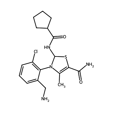 CC1=C(C(N)=O)SC(NC(=O)C2CCCC2)N1c1c(Cl)cccc1CN